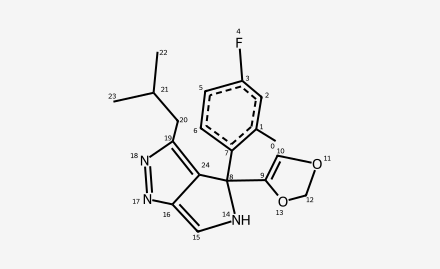 Cc1cc(F)ccc1C1(C2=COCO2)NC=C2N=NC(CC(C)C)=C21